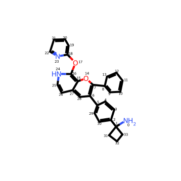 NC1(c2ccc(C3=C(c4ccccc4)OC4=C(Oc5ccccn5)NC=CC4=C3)cc2)CCC1